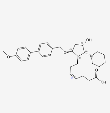 COc1ccc(-c2ccc(CO[C@H]3C[C@H](O)[C@H](N4CCCCC4)[C@H]3CC/C=C\CCC(=O)O)cc2)cc1